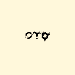 O=C(CN1CCOCC1)Nc1cc(F)cc(I)c1